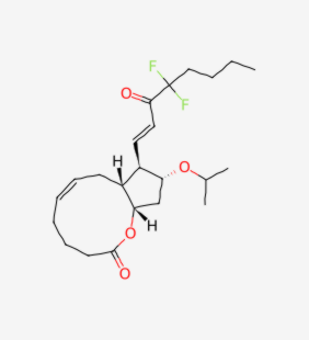 CCCCC(F)(F)C(=O)/C=C/[C@@H]1[C@H]2C/C=C\CCCC(=O)O[C@H]2C[C@H]1OC(C)C